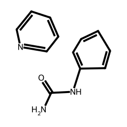 NC(=O)Nc1ccccc1.c1ccncc1